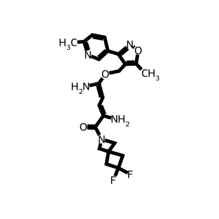 Cc1ccc(-c2noc(C)c2CO/C(N)=C/C=C(\N)C(=O)N2CC3(C2)CC(F)(F)C3)cn1